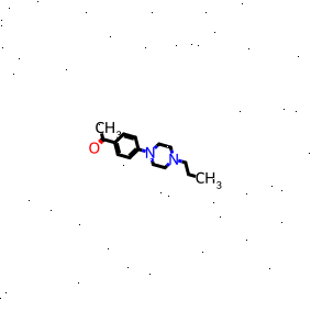 CCCN1CCN(c2ccc(C(C)=O)cc2)CC1